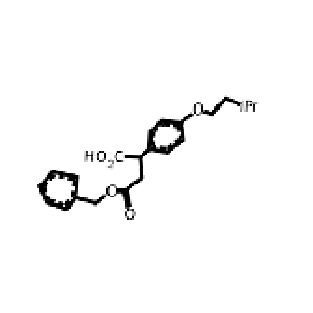 CC(C)CCOc1ccc(C(CC(=O)OCc2ccccc2)C(=O)O)cc1